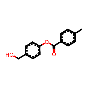 Cc1ccc(C(=O)Oc2ccc(CO)cc2)cc1